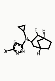 F[C@H]1[C@@H]2CC[C@@H](C2)C[C@H]1N(c1nnc(Br)s1)C1CC1